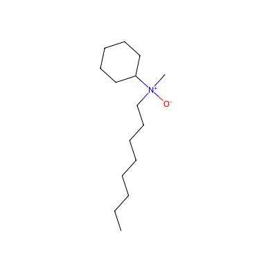 CCCCCCCC[N+](C)([O-])C1CCCCC1